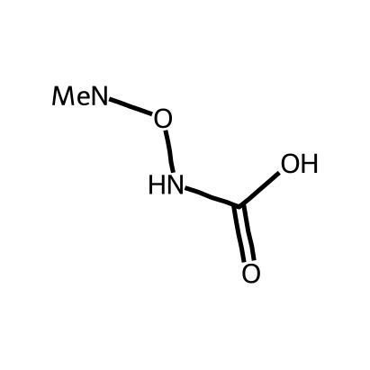 CNONC(=O)O